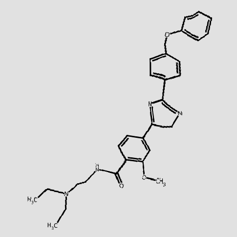 CCN(CC)CCNC(=O)c1ccc(C2=NC(c3ccc(Oc4ccccc4)cc3)=NC2)cc1OC